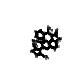 COc1cc2c(cc1-c1c(C)n[nH]c1C)ncc1[nH]c(=O)n([C@H](C)c3ccccn3)c12